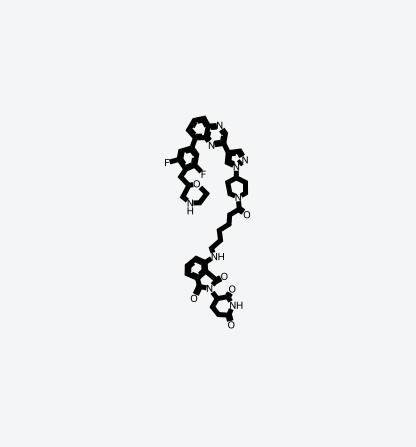 O=C1CCC(N2C(=O)c3cccc(NCCCCCC(=O)N4CCC(n5cc(-c6cnc7cccc(-c8cc(F)c(CC9CNCCO9)c(F)c8)c7n6)cn5)CC4)c3C2=O)C(=O)N1